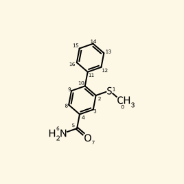 CSc1cc(C(N)=O)ccc1-c1ccccc1